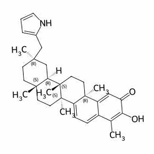 CC1=C(O)C(=O)C=C2C1=CC=C1[C@@]2(C)CC[C@@]2(C)[C@@H]3C[C@](C)(Cc4ccc[nH]4)CC[C@@]3(C)CC[C@]12C